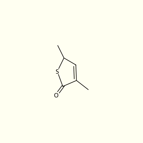 CC1=CC(C)SC1=O